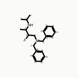 CC(C)NC(C)C(F)CN(Cc1ccccc1)Cc1ccccc1